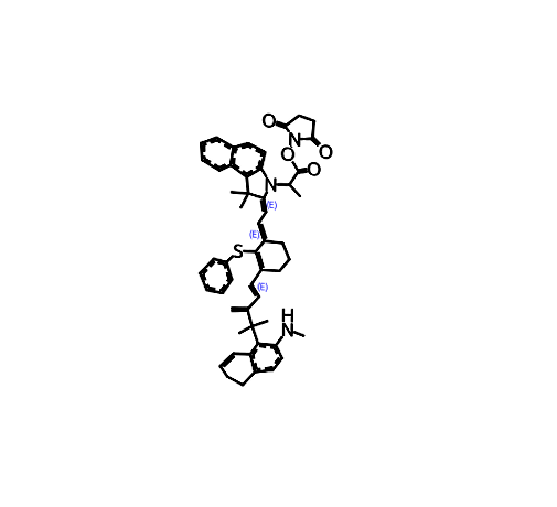 C=C(/C=C/C1=C(Sc2ccccc2)C(=C/C=C2/N(C(C)C(=O)ON3C(=O)CCC3=O)c3ccc4ccccc4c3C2(C)C)/CCC1)C(C)(C)c1c(NC)ccc2c1C=CCC2